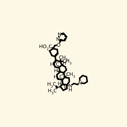 C=C(C)[C@@H]1CC[C@]2(NCCN3CCCCC3)CC[C@]3(C)[C@H](CC[C@@H]4[C@@]5(C)CC=C(C6=CCC(COc7cccnn7)(C(=O)O)CC6)C(C)(C)[C@@H]5CC[C@]43C)[C@@H]12